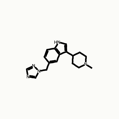 CN1CCC(c2c[nH]c3ccc(Cn4cncn4)cc23)CC1